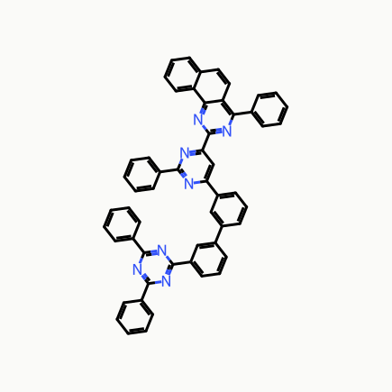 c1ccc(-c2nc(-c3cccc(-c4cccc(-c5nc(-c6ccccc6)nc(-c6ccccc6)n5)c4)c3)cc(-c3nc(-c4ccccc4)c4ccc5ccccc5c4n3)n2)cc1